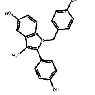 Cc1c(-c2ccc(O)cc2)n(Cc2ccc(C(C)(C)C)cc2)c2ccc(O)cc12